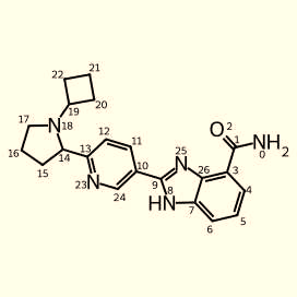 NC(=O)c1cccc2[nH]c(-c3ccc(C4CCCN4C4CCC4)nc3)nc12